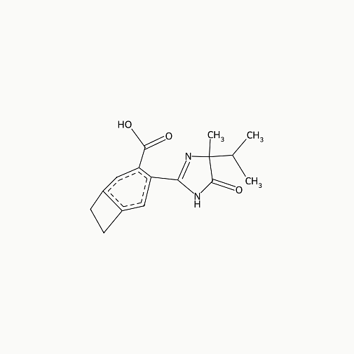 CC(C)C1(C)N=C(c2cc3c(cc2C(=O)O)CC3)NC1=O